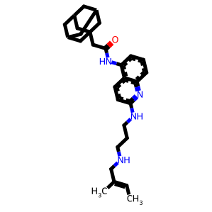 CC=C(C)CNCCCNc1ccc2c(NC(=O)CC34CC5CC(CC(C5)C3)C4)cccc2n1